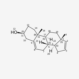 C[C@@]12C=CC[C@H]1[C@@H]1CC=C3C[C@@H](O)CC[C@]3(C)[C@H]1CC2